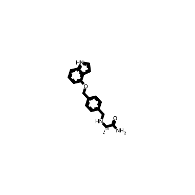 C[C@H](NCc1ccc(COc2cccc3[nH]ccc23)cc1)C(N)=O